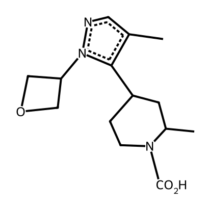 Cc1cnn(C2COC2)c1C1CCN(C(=O)O)C(C)C1